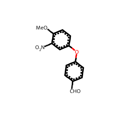 COc1ccc(Oc2ccc(C=O)cc2)cc1[N+](=O)[O-]